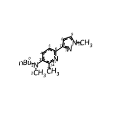 CCCCN(C)c1ccc(-c2ccn(C)n2)nc1C